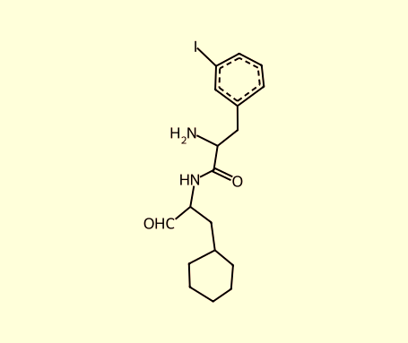 NC(Cc1cccc(I)c1)C(=O)NC(C=O)CC1CCCCC1